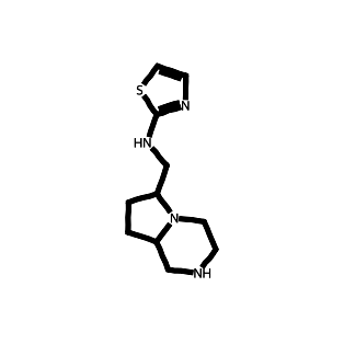 c1csc(NCC2CCC3CNCCN32)n1